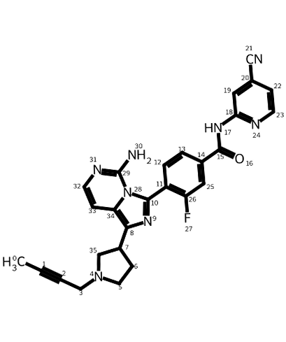 CC#CCN1CCC(c2nc(-c3ccc(C(=O)Nc4cc(C#N)ccn4)cc3F)n3c(N)nccc23)C1